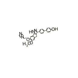 COc1cc2c(cc1OCCn1ccnc1)-c1[nH]nc(-c3ccc(-c4ccc(O)cc4)cc3)c1C2